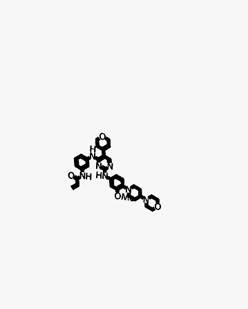 C=CC(=O)Nc1cccc(Nc2nc(Nc3ccc(N4CCC(N5CCOCC5)CC4)c(OC)c3)ncc2C2=CCOCC2)c1